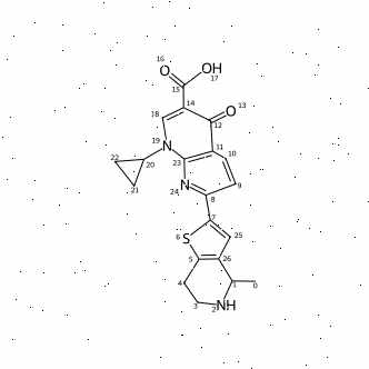 CC1NCCc2sc(-c3ccc4c(=O)c(C(=O)O)cn(C5CC5)c4n3)cc21